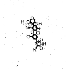 CC1(C)COCc2[nH]c3c(F)cc(Oc4c(Cl)cc(-n5nc(C#N)c(=O)[nH]c5=O)cc4Cl)c(C#N)c3c21